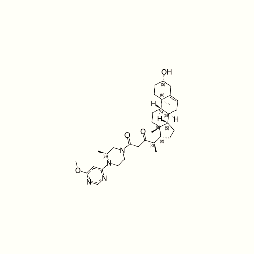 COc1cc(N2CCN(C(=O)CC(=O)[C@H](C)[C@H]3CC[C@H]4[C@@H]5CC=C6C[C@@H](O)CC[C@]6(C)[C@H]5CC[C@@]34C)C[C@@H]2C)ncn1